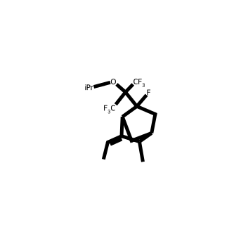 C/C=C1\C(C)C2CC1C(F)(C(OC(C)C)(C(F)(F)F)C(F)(F)F)C2